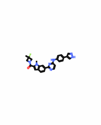 Cn1c(C(=O)N2CC(C)(F)C2)cc2ccc(-c3nccc(Nc4ccc(-c5cn[nH]c5)cc4)n3)cc21